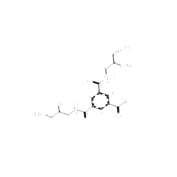 O=C(I)c1cc(C(=O)NCC(O)CO)cc(C(=O)NCC(O)CO)c1